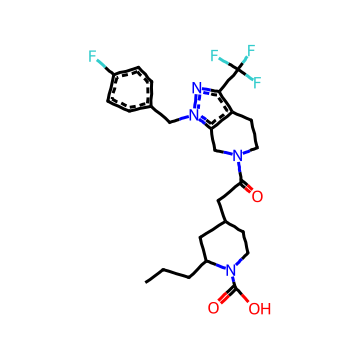 CCCC1CC(CC(=O)N2CCc3c(C(F)(F)F)nn(Cc4ccc(F)cc4)c3C2)CCN1C(=O)O